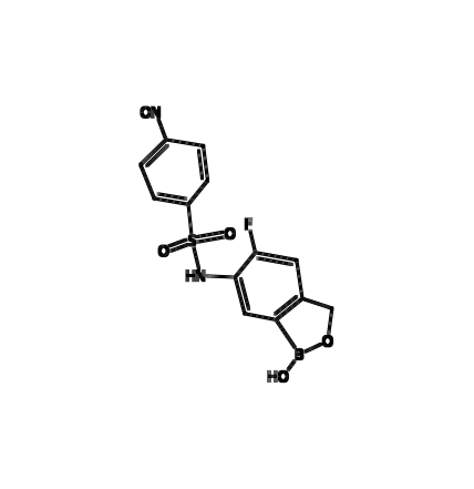 O=Nc1ccc(S(=O)(=O)Nc2cc3c(cc2F)COB3O)cc1